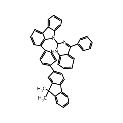 CC1(C)c2ccccc2-c2ccc(-c3ccc(-c4cccc5c6ccccc6n(C6N=C(c7ccccc7)c7ccccc7N6)c45)cc3)cc21